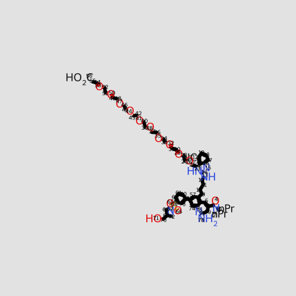 CCCN(CCC)C(=O)C1=Cc2c(CCCCN/C(=N/c3cccc(C#N)c3)NCCOCCOCCOCCOCCOCCOCCOCCOCCOCCOCCC(=O)O)cc(-c3cccc(S(=O)(=O)N4CC(CO)C4)c3)cc2N=C(N)C1